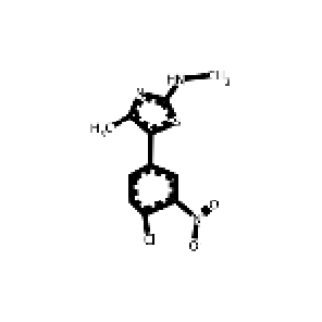 CNc1nc(C)c(-c2ccc(Cl)c([N+](=O)[O-])c2)s1